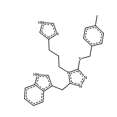 Cc1ccc(CSc2nnc(Cc3c[nH]c4ccccc34)n2CCCc2c[nH]cn2)cc1